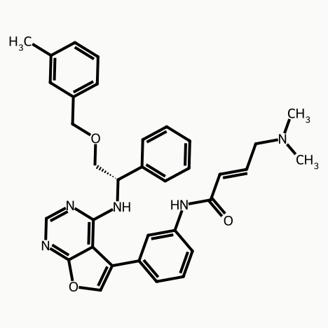 Cc1cccc(COC[C@@H](Nc2ncnc3occ(-c4cccc(NC(=O)/C=C/CN(C)C)c4)c23)c2ccccc2)c1